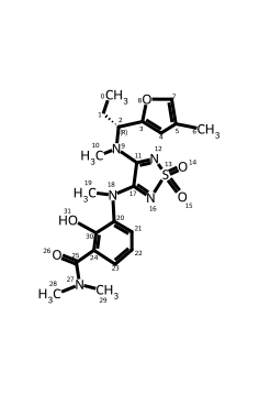 CC[C@H](c1cc(C)co1)N(C)C1=NS(=O)(=O)N=C1N(C)c1cccc(C(=O)N(C)C)c1O